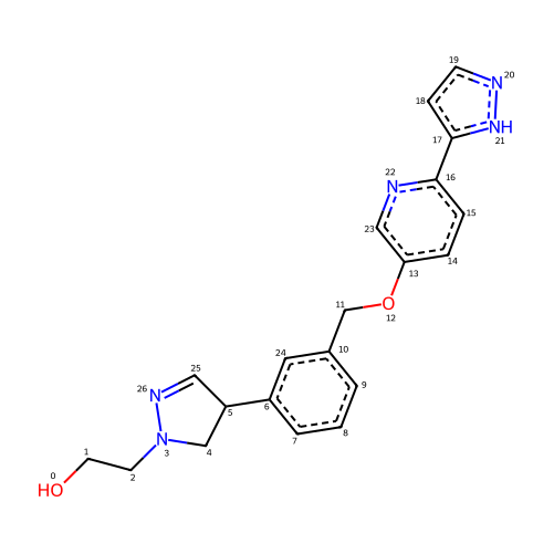 OCCN1CC(c2cccc(COc3ccc(-c4ccn[nH]4)nc3)c2)C=N1